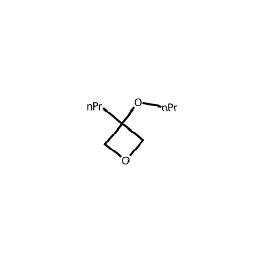 CCCOC1(CCC)COC1